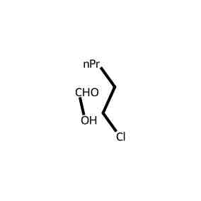 CCCCCCl.O=CO